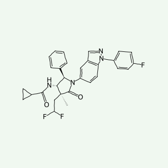 C[C@@]1(CC(F)F)C(=O)N(c2ccc3c(cnn3-c3ccc(F)cc3)c2)[C@H](c2ccccc2)[C@H]1NC(=O)C1CC1